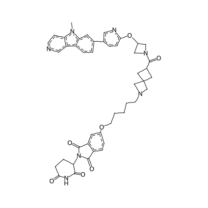 Cn1c2ccncc2c2ccc(-c3ccc(OC4CN(C(=O)C5CC6(C5)CN(CCCCCOc5ccc7c(c5)C(=O)N(C5CCC(=O)NC5=O)C7=O)C6)C4)nc3)cc21